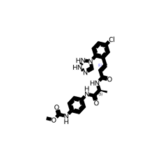 COC(=O)Nc1ccc(NC(=O)[C@H](C)NC(=O)/C=C/c2cc(Cl)ccc2N2C=NNN2)cc1